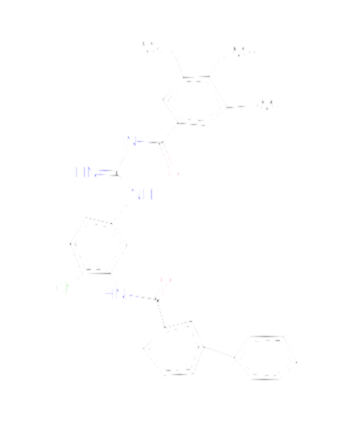 COc1cc(C(=O)NC(=N)Nc2ccc(Cl)c(NC(=O)c3cccc(-c4ccccc4)c3)c2)cc(OC)c1OC